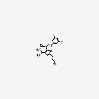 CC(C)c1nc(CCCO)[nH]c1C(CSc1cc(Cl)cc(Cl)c1)C1CC1